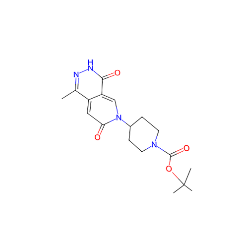 Cc1n[nH]c(=O)c2cn(C3CCN(C(=O)OC(C)(C)C)CC3)c(=O)cc12